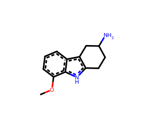 COc1cccc2c3c([nH]c12)CCC(N)C3